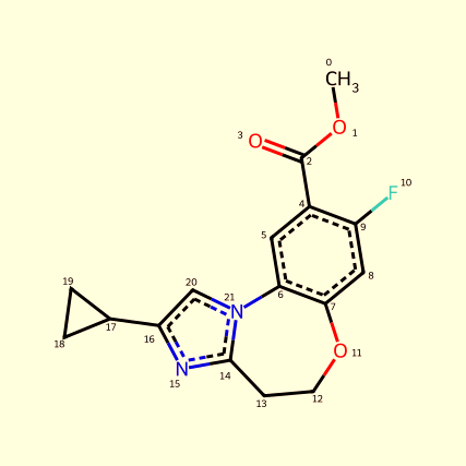 COC(=O)c1cc2c(cc1F)OCCc1nc(C3CC3)cn1-2